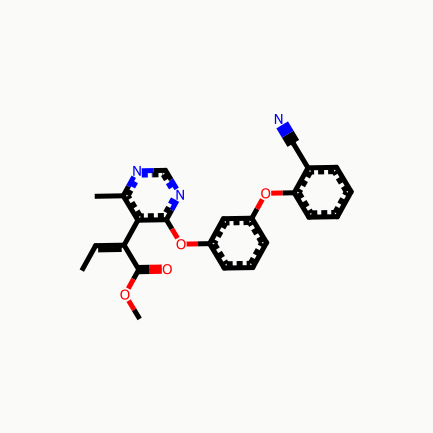 CC=C(C(=O)OC)c1c(C)ncnc1Oc1cccc(Oc2ccccc2C#N)c1